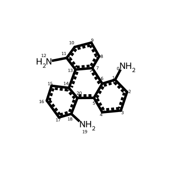 Nc1cccc2c1c1cccc(N)c1c1cccc(N)c21